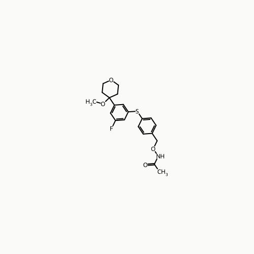 COC1(c2cc(F)cc(Sc3ccc(CONC(C)=O)cc3)c2)CCOCC1